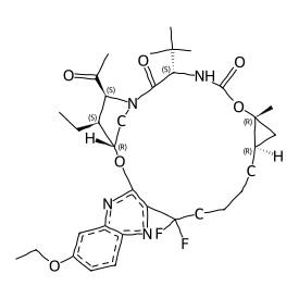 CCOc1ccc2nc3c(nc2c1)O[C@H]1CN(C(=O)[C@H](C(C)(C)C)NC(=O)O[C@]2(C)C[C@H]2CCCCC3(F)F)[C@H](C(C)=O)[C@@H]1CC